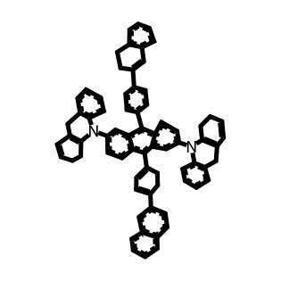 C1=CC2=C(CC1)N(c1ccc3c(-c4ccc(C5=Cc6ccccc6CC5)cc4)c4cc(N5C6=C(C=CCC6)Cc6ccccc65)ccc4c(C4=CC=C(c5ccc6ccccc6c5)CC4)c3c1)c1ccccc1C2